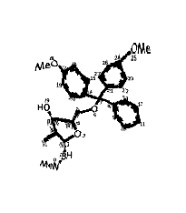 CNB[C@@H]1O[C@H](COC(c2ccccc2)(c2ccc(OC)cc2)c2ccc(OC)cc2)[C@H](O)C1C